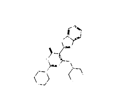 CC(C)CC(CO)Nc1nc(N2CCOCC2)[nH]c(=O)c1-c1nc2ccccc2s1